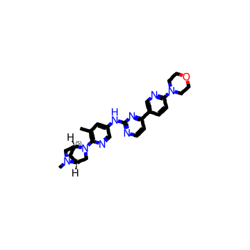 Cc1cc(Nc2nccc(-c3ccc(N4CCOCC4)nc3)n2)cnc1N1C[C@@H]2C[C@H]1CN2C